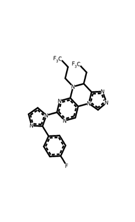 Fc1ccc(-c2nccn2-c2ncc3c(n2)N(CCC(F)(F)F)C(CC(F)(F)F)c2nncn2-3)cc1